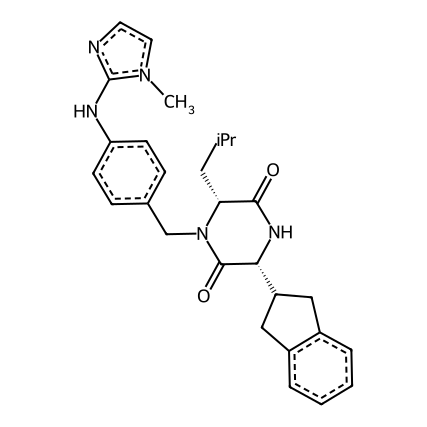 CC(C)C[C@@H]1C(=O)N[C@H](C2Cc3ccccc3C2)C(=O)N1Cc1ccc(Nc2nccn2C)cc1